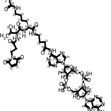 CC(C)[C@H](NC(=O)CCN1C(=O)C=CC1=O)C(=O)N[C@@H](CCCCNC(N)=O)C(=O)NCCCC(=O)Nc1ncnc2c1ncn2[C@@H]1O[C@@H]2CO[P@@](=O)(S)O[C@H]3[C@@H](F)[C@H](n4cnc5c(N)ncnc54)O[C@@H]3CO[P@@](=O)(S)O[C@H]2[C@H]1F